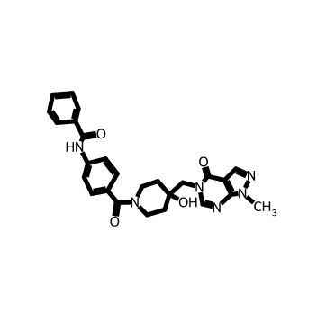 Cn1ncc2c(=O)n(CC3(O)CCN(C(=O)c4ccc(NC(=O)c5ccccc5)cc4)CC3)cnc21